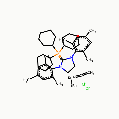 C=[C]=[Ru+2][C](C)(C)C.Cc1cc(C)c(N2CCN(c3c(C)cc(C)cc3C)C2=P(C2CCCCC2)(C2CCCCC2)C2CCCCC2)c(C)c1.[Cl-].[Cl-]